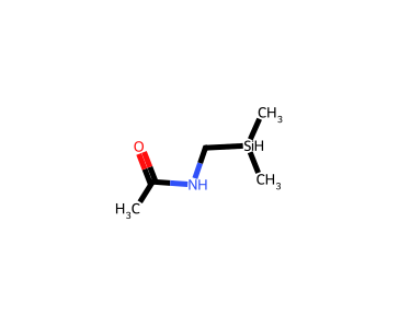 CC(=O)NC[SiH](C)C